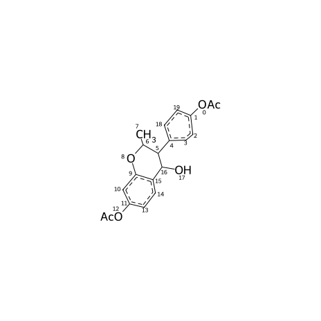 CC(=O)Oc1ccc(C2C(C)Oc3cc(OC(C)=O)ccc3C2O)cc1